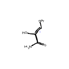 CCC/C=C(\O)C(N)=O